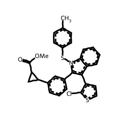 COC(=O)C1CC1c1cccc(-c2c(-c3ccsc3Cl)c3ccccc3n2Sc2ccc(C)cc2)c1